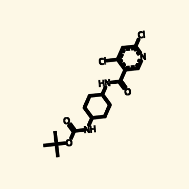 CC(C)(C)OC(=O)NC1CCC(NC(=O)c2cnc(Cl)cc2Cl)CC1